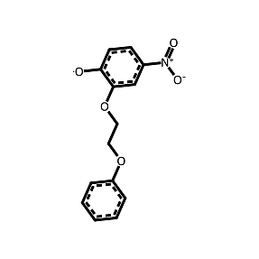 [O]c1ccc([N+](=O)[O-])cc1OCCOc1ccccc1